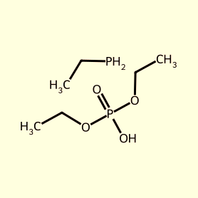 CCOP(=O)(O)OCC.CCP